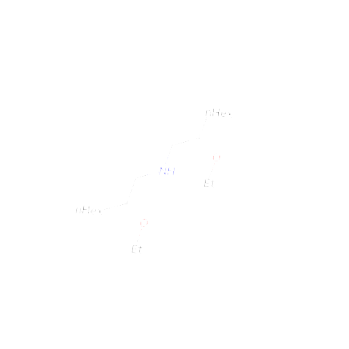 CCCCCCC(CNCC(CCCCCC)OCC)OCC